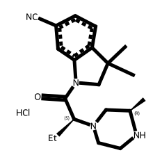 CC[C@@H](C(=O)N1CC(C)(C)c2ccc(C#N)cc21)N1CCN[C@H](C)C1.Cl